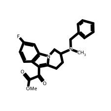 COC(=O)C(=O)c1c2n(c3cc(F)ccc13)CC(N(C)Cc1ccccc1)CC2